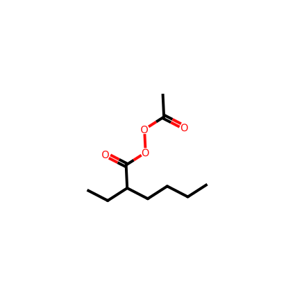 CCCCC(CC)C(=O)OOC(C)=O